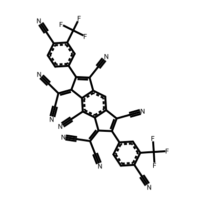 N#CC(C#N)=C1C(c2ccc(C#N)c(C(F)(F)F)c2)=C(C#N)c2cc3c(c(C#N)c21)C(=C(C#N)C#N)C(c1ccc(C#N)c(C(F)(F)F)c1)=C3C#N